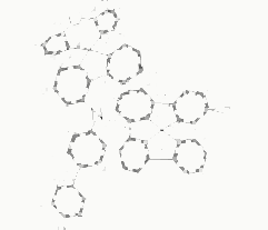 Fc1ccc2c(c1)C1(c3ccccc3-c3ccccc31)c1cc(N(c3ccc(-c4ccccc4)cc3)c3cccc4c3-c3ccccc3C43c4ccccc4Oc4ccccc43)ccc1-2